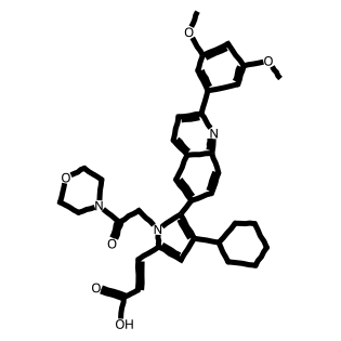 COc1cc(OC)cc(-c2ccc3cc(-c4c(C5CCCCC5)cc(C=CC(=O)O)n4CC(=O)N4CCOCC4)ccc3n2)c1